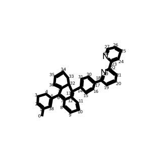 CC1=CCCC(C2=c3ccccc3=C(c3ccc(-c4cccc(-c5ccccn5)n4)cc3)C3CC=CC=C23)=C1